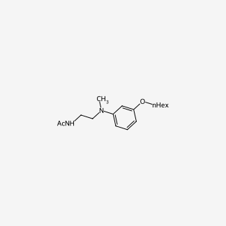 CCCCCCOc1cccc(N(C)CCNC(C)=O)c1